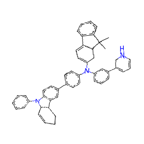 CC1(C)c2ccccc2C2=CC=C(N(c3ccc(-c4ccc5c(c4)C4CCC=CC4N5c4ccccc4)cc3)c3cccc(C4=CC=CNC4)c3)CC21